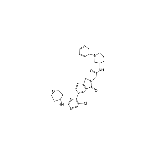 O=C(CN1Cc2ccc(-c3nc(NC4CCOCC4)ncc3Cl)cc2C1=O)NC1CCCN(c2ccccc2)C1